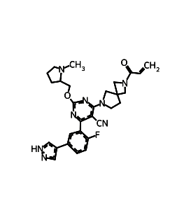 C=CC(=O)N1CC2(CCN(c3nc(OCC4CCCN4C)nc(-c4cc(-c5cn[nH]c5)ccc4F)c3C#N)C2)C1